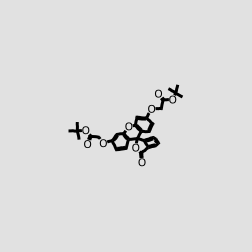 CC(C)(C)OC(=O)COc1ccc2c(c1)Oc1cc(OCC(=O)OC(C)(C)C)ccc1C21OC(=O)c2ccccc21